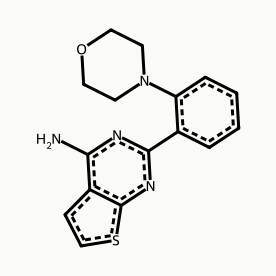 Nc1nc(-c2ccccc2N2CCOCC2)nc2sccc12